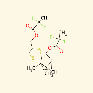 CC(F)(F)C(=O)OCC1CSC2(S1)C(OC(=O)C(C)(F)F)C1CCC2(C)C1(C)C